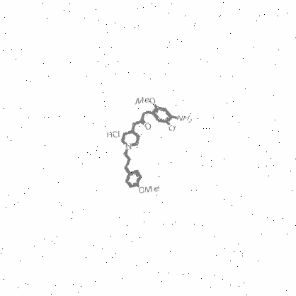 COc1ccc(CCCN2CCC(CC(=O)Cc3cc(Cl)c(N)cc3OC)CC2)cc1.Cl